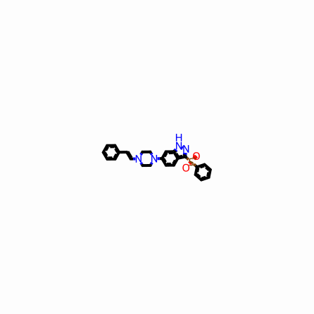 O=S(=O)(c1ccccc1)c1n[nH]c2cc(N3CCN(C=Cc4ccccc4)CC3)ccc12